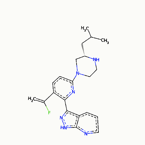 C=C(F)c1ccc(N2CCN[C@@H](CC(C)C)C2)nc1-c1n[nH]c2ncccc12